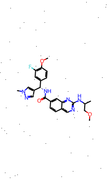 COCC(C)Nc1ncc2ccc(C(=O)N[C@@H](c3ccc(OC)c(F)c3)c3cnn(C)c3)cc2n1